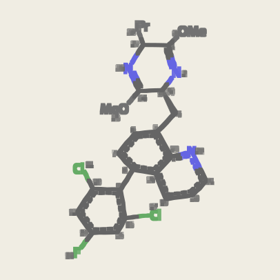 COC1=N[C@@H](Cc2ccc(-c3c(Cl)cc(F)cc3Cl)c3cccnc23)C(OC)=NC1C(C)C